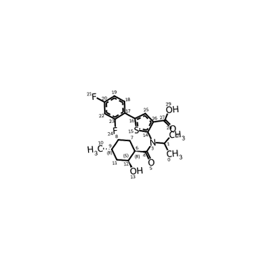 CC(C)N(C(=O)[C@@H]1CC[C@@H](C)C[C@@H]1O)c1sc(-c2ccc(F)cc2F)cc1C(=O)O